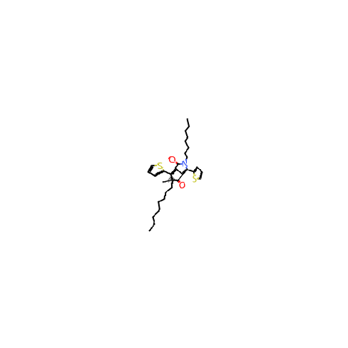 CCCCCCCCN1C(=O)C2=C(c3cccs3)[C@@](C)(CCCCCCCC)C(=O)C2=C1c1cccs1